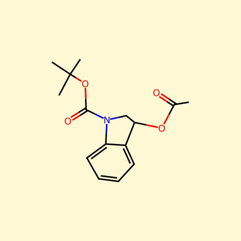 CC(=O)OC1CN(C(=O)OC(C)(C)C)c2ccccc21